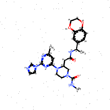 CCCNC(=O)N1CCN(c2cc(C)nc(-n3ccnc3)n2)C(CC(=O)NC(C)c2ccc3c(c2)OCCO3)C1